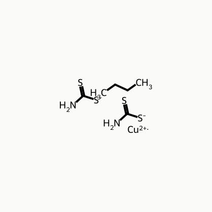 CCCC.NC(=S)[S-].NC(=S)[S-].[Cu+2]